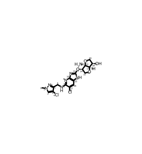 Cn1cc(Cl)c(CNc2nc3nc(O[C@@H]4CO[C@@H]5[C@H](O)CO[C@@]54N)[nH]c3cc2Cl)n1